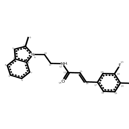 Cc1cc2ccccc2n1CCNC(=O)/C=C/c1ccc(F)c(F)c1